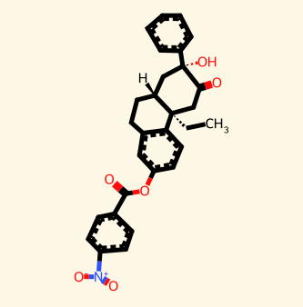 CC[C@@]12CC(=O)[C@](O)(c3ccccc3)C[C@H]1CCc1cc(OC(=O)c3ccc([N+](=O)[O-])cc3)ccc12